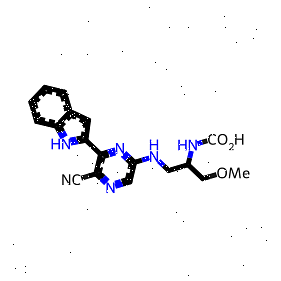 COCC(CNc1cnc(C#N)c(-c2cc3ccccc3[nH]2)n1)NC(=O)O